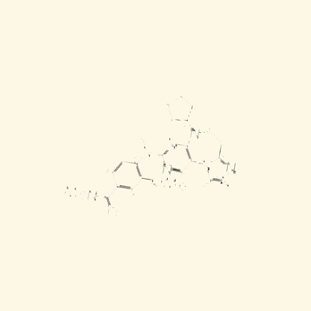 CNC(=O)c1ccc(N(C)c2ncc3c(n2)N(C2CCCC2)CCc2nncn2-3)c(OC)c1